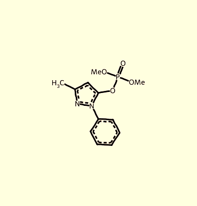 COP(=O)(OC)Oc1cc(C)nn1-c1ccccc1